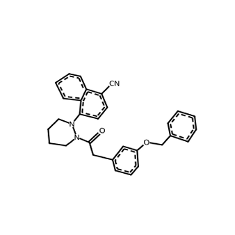 N#Cc1ccc(N2CCCCN2C(=O)Cc2cccc(OCc3ccccc3)c2)c2ccccc12